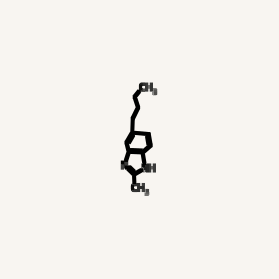 CCCCc1ccc2[nH]c(C)nc2c1